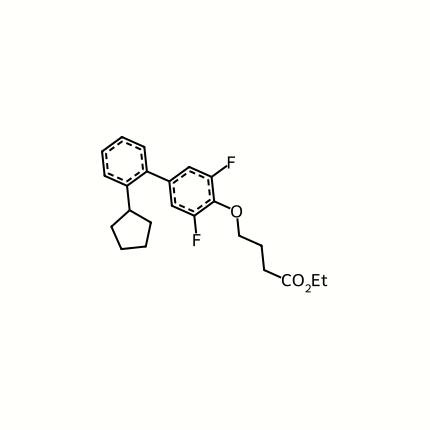 CCOC(=O)CCCOc1c(F)cc(-c2ccccc2C2CCCC2)cc1F